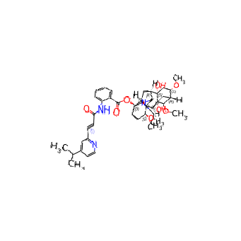 CCN1C[C@]2(OC(=O)c3ccccc3NC(=O)/C=C/c3cc(C(C)C)ccn3)CC[C@H](OC)[C@]34C1[C@@H](C[C@H]23)[C@@]1(O)C[C@H](OC)[C@H]2C[C@@H]4[C@]1(O)C2OC